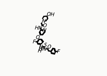 O=C(Cc1ccc(F)cc1)NC(=S)Nc1ccc(Oc2ccnc(NC(=O)CN3CCC(O)CC3)c2)c(F)c1